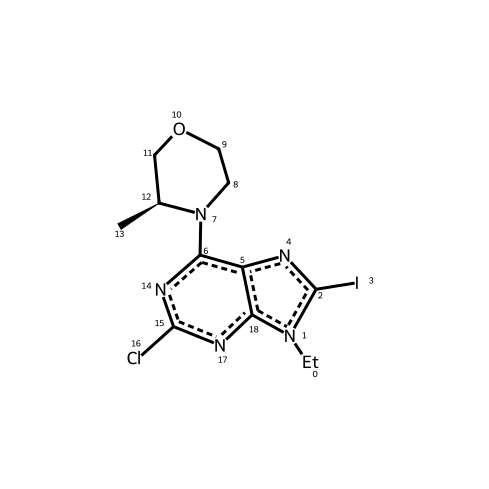 CCn1c(I)nc2c(N3CCOC[C@@H]3C)nc(Cl)nc21